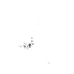 CCCCCCCCCCCCCCCCCCCCC(=O)OCC(COP(=O)(O)OCC(N)C(=O)O)OC(=O)CCCCCCCCCCCCCCCCCCCC